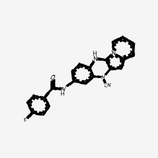 N#CN1c2cc(NC(=O)c3ccc(F)cc3)ccc2Nc2c1cc1ccccn21